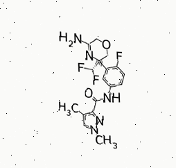 Cc1cn(C)nc1C(=O)Nc1ccc(F)c([C@]2(C(F)F)COCC(N)=N2)c1